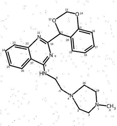 CN1CCN(CCNc2nc(C3OCOc4ccccc43)nc3ccccc23)CC1